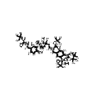 CC(C)(C)NS(=O)(=O)c1cc(CN(CCC(C)(C)NS(=O)(=O)c2cc(CNC(=O)OC(C)(C)C)ccc2Br)C(=O)OC(C)(C)C)ccc1B1OC(C)(C)C(C)(C)O1